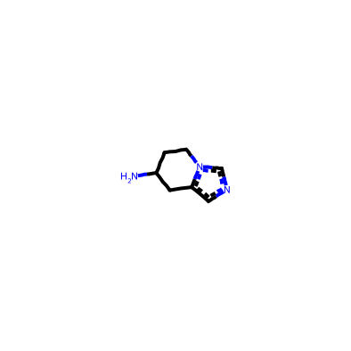 NC1CCn2cncc2C1